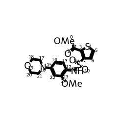 COC(=O)c1sccc1S(=O)(=O)Nc1ccc(N2CCOCC2)cc1OC